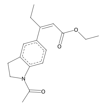 CCOC(=O)/C=C(/CC)c1ccc2c(c1)CCN2C(C)=O